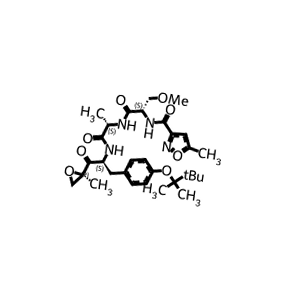 COC[C@H](NC(=O)c1cc(C)on1)C(=O)N[C@@H](C)C(=O)N[C@@H](Cc1ccc(OC(C)(C)C(C)(C)C)cc1)C(=O)[C@@]1(C)CO1